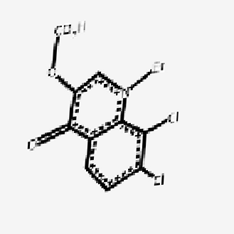 CCn1cc(OC(=O)O)c(=O)c2ccc(Cl)c(Cl)c21